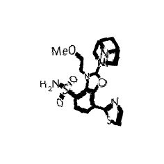 COCCN1c2c(S(N)(=O)=O)ccc(-c3nccs3)c2OC1N1CC2CC(C1)N2